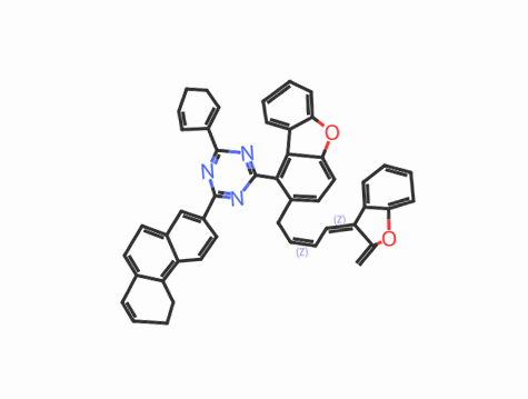 C=c1oc2ccccc2/c1=C/C=C\Cc1ccc2oc3ccccc3c2c1-c1nc(C2=CCCC=C2)nc(-c2ccc3c4c(ccc3c2)C=CCC4)n1